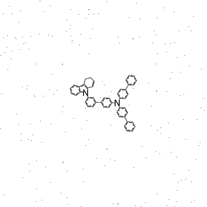 C1=Cc2c(c3ccccc3n2-c2cccc(-c3ccc(N(c4ccc(-c5ccccc5)cc4)c4ccc(-c5ccccc5)cc4)cc3)c2)CC1